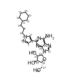 Nc1nc(-c2cnn(CCCC3CCCCC3)c2)nc2c1ncn2[C@@H]1O[C@H](CO)[C@@H](O)[C@H]1O